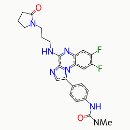 CNC(=O)Nc1ccc(-c2cnc3c(NCCCN4CCCC4=O)nc4cc(F)c(F)cc4n23)cc1